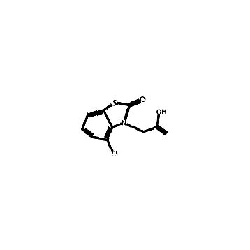 C=C(O)Cn1c(=O)sc2cccc(Cl)c21